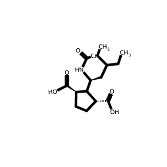 CCC(CC)C[C@H](NC(C)=O)C1[C@H](C(=O)O)CC[C@H]1C(=O)O